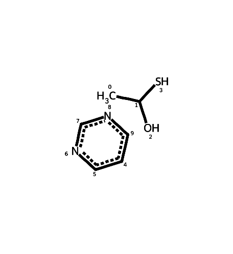 CC(O)S.c1cncnc1